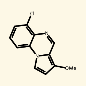 COc1ccn2c1cnc1c(Cl)cccc12